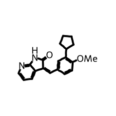 COc1ccc(C=C2C(=O)Nc3ncccc32)cc1C1CCCC1